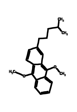 COc1c2ccccc2c(OC)c2cc(CCCC(C)C)ccc12